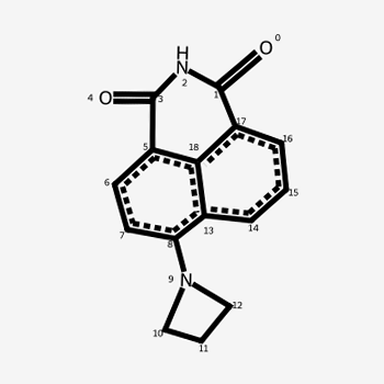 O=C1NC(=O)c2ccc(N3CCC3)c3cccc1c23